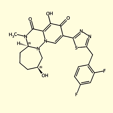 CN1C(=O)c2c(O)c(=O)c(-c3nnc(Cc4ccc(F)cc4F)s3)cn2N2C[C@@H](O)CCC[C@@H]12